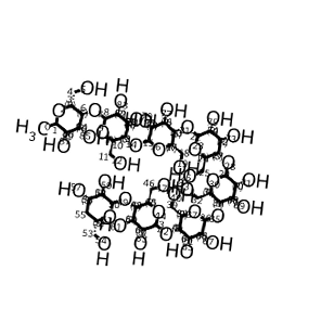 CC1O[C@H](CO)[C@@H](OC2O[C@H](CO)[C@@H](OC3O[C@H](CO)[C@@H](OC4O[C@H](CO)[C@@H](OC5O[C@H](CO)[C@@H](OC6O[C@H](CO)[C@@H](OC7O[C@H](CO)[C@@H](OC8O[C@H](CO)C[C@H](O)[C@H]8O)[C@H](O)[C@H]7O)[C@H](O)[C@H]6O)[C@H](O)[C@H]5O)[C@H](O)[C@H]4O)[C@H](O)[C@H]3O)[C@H](O)[C@H]2O)[C@H](O)[C@H]1O